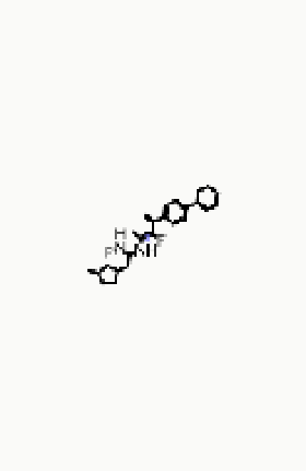 C=C(/C(F)=C(\C)NC(CC1CCC(C)C1)NF)c1ccc(C2=CC=CCC2)cc1